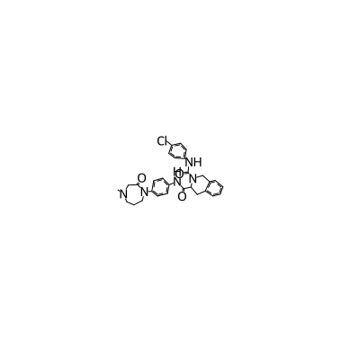 CN1CCCN(c2ccc(NC(=O)C3Cc4ccccc4CN3C(=O)Nc3ccc(Cl)cc3)cc2)C(=O)C1